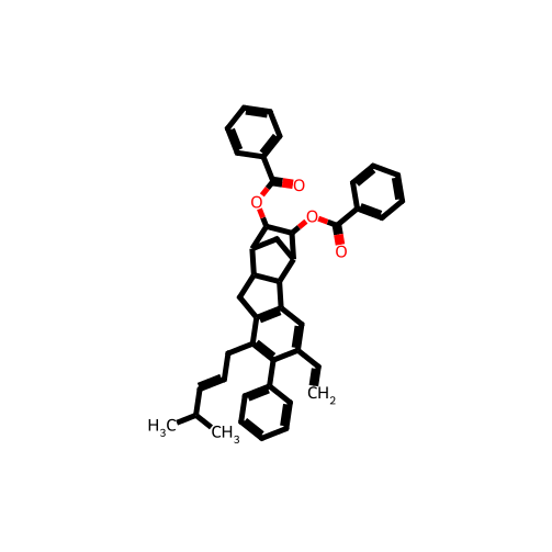 C=Cc1cc2c(c(C/C=C/C(C)C)c1-c1ccccc1)CC1C3CC(C(OC(=O)c4ccccc4)C3OC(=O)c3ccccc3)C21